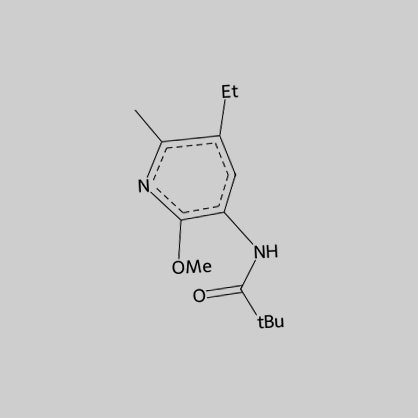 CCc1cc(NC(=O)C(C)(C)C)c(OC)nc1C